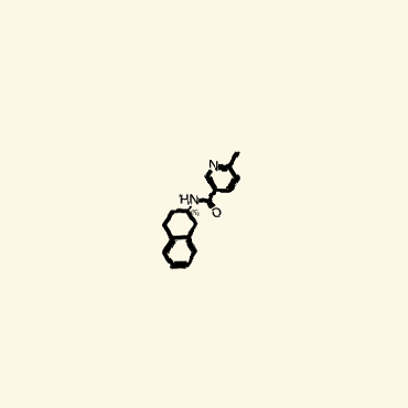 Cc1ccc(C(=O)N[C@H]2CCc3ccccc3C2)cn1